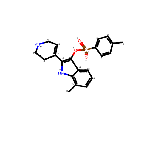 Cc1ccc(S(=O)(=O)Oc2c(C3=CCNCC3)[nH]c3c(C)cccc23)cc1